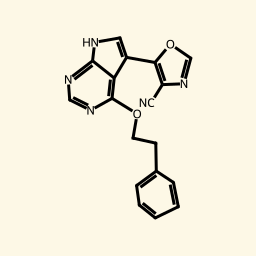 N#Cc1ncoc1-c1c[nH]c2ncnc(OCCc3ccccc3)c12